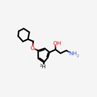 [2H]c1cc(OCC2CCCCC2)cc(C(O)CCN)c1